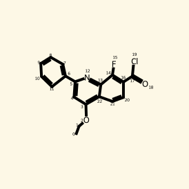 CCOc1cc(-c2ccccc2)nc2c(F)c(C(=O)Cl)ccc12